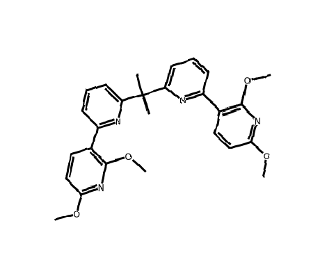 COc1ccc(-c2cccc(C(C)(C)c3cccc(-c4ccc(OC)nc4OC)n3)n2)c(OC)n1